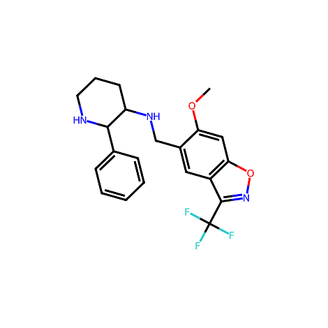 COc1cc2onc(C(F)(F)F)c2cc1CNC1CCCNC1c1ccccc1